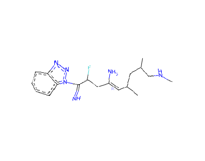 CNCC(C)CC(C)/C=C(\N)CC(F)C(=N)n1nnc2ccccc21